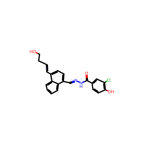 O=C(N/N=C/c1ccc(/C=C/CCO)c2ccccc12)c1ccc(O)c(Cl)c1